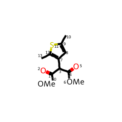 COC(=O)C(C(=O)OC)c1cc(C)sc1C